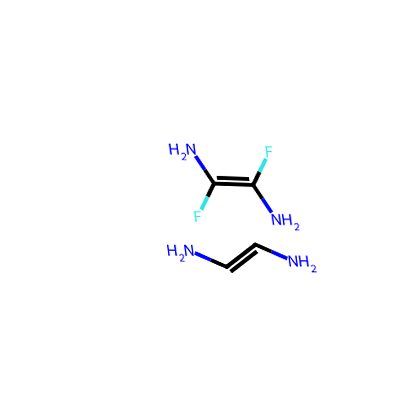 NC(F)=C(N)F.NC=CN